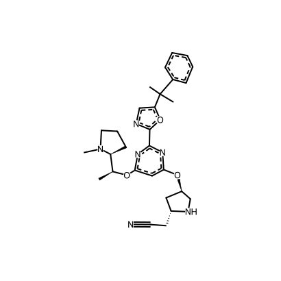 C[C@H](Oc1cc(O[C@H]2CN[C@H](CC#N)C2)nc(-c2ncc(C(C)(C)c3ccccc3)o2)n1)[C@@H]1CCCN1C